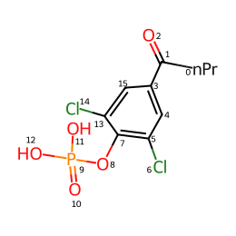 CCCC(=O)c1cc(Cl)c(OP(=O)(O)O)c(Cl)c1